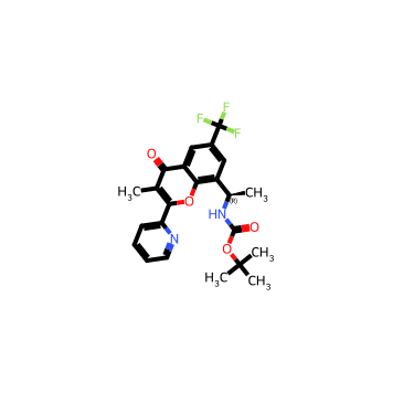 Cc1c(-c2ccccn2)oc2c([C@@H](C)NC(=O)OC(C)(C)C)cc(C(F)(F)F)cc2c1=O